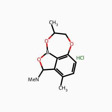 CNC1OB2OC(C)COc3ccc(C)c1c32.Cl